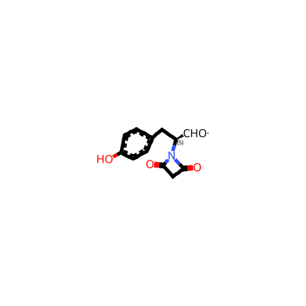 O=[C][C@H](Cc1ccc(O)cc1)N1C(=O)CC1=O